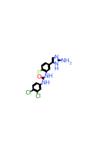 Nc1ncc(-c2ccc(F)c(NC(=O)Nc3ccc(Cl)c(Cl)c3)c2)[nH]1